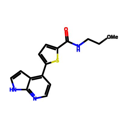 COCCNC(=O)c1ccc(-c2ccnc3[nH]ccc23)s1